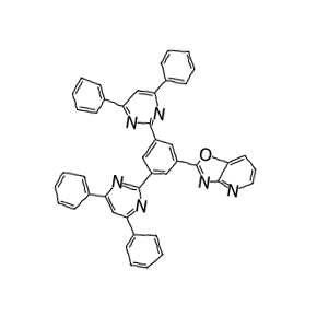 c1ccc(-c2cc(-c3ccccc3)nc(-c3cc(-c4nc(-c5ccccc5)cc(-c5ccccc5)n4)cc(-c4nc5ncccc5o4)c3)n2)cc1